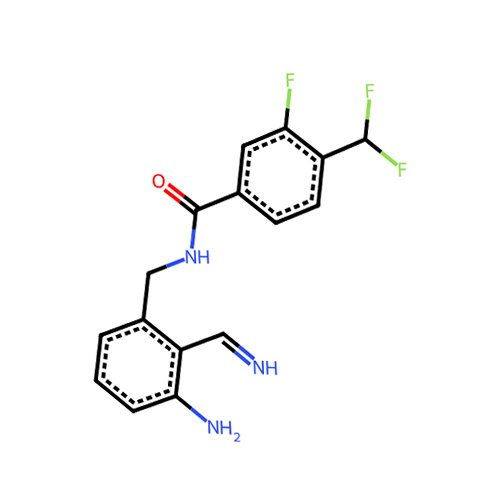 N=Cc1c(N)cccc1CNC(=O)c1ccc(C(F)F)c(F)c1